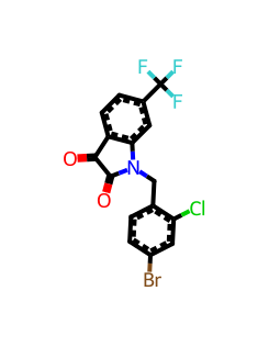 O=C1C(=O)N(Cc2ccc(Br)cc2Cl)c2cc(C(F)(F)F)ccc21